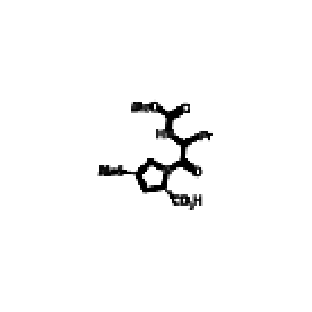 COC(=O)NC(C(=O)N1C[C@@H](SC)C[C@H]1C(=O)O)C(C)C